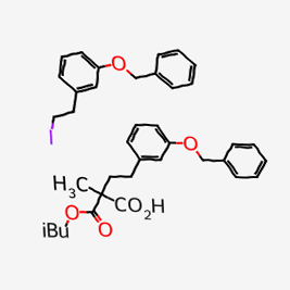 CCC(C)OC(=O)C(C)(CCc1cccc(OCc2ccccc2)c1)C(=O)O.ICCc1cccc(OCc2ccccc2)c1